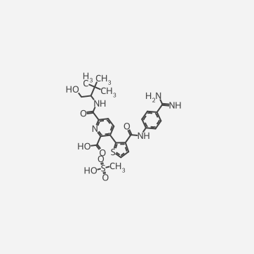 CC(C)(C)C(CO)NC(=O)c1ccc(-c2sccc2C(=O)Nc2ccc(C(=N)N)cc2)c(C(=O)O)n1.CS(=O)(=O)O